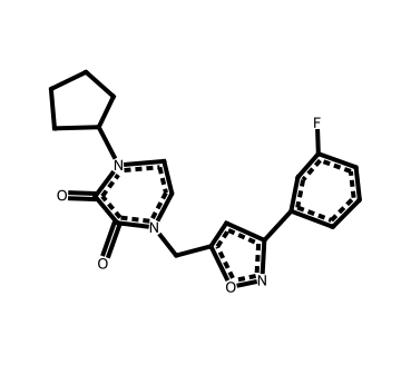 O=c1c(=O)n(C2CCCC2)ccn1Cc1cc(-c2cccc(F)c2)no1